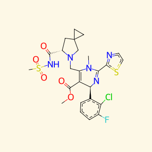 COC(=O)C1=C(CN2CC3(CC3)C[C@H]2C(=O)NS(C)(=O)=O)N(C)C(c2nccs2)=N[C@H]1c1cccc(F)c1Cl